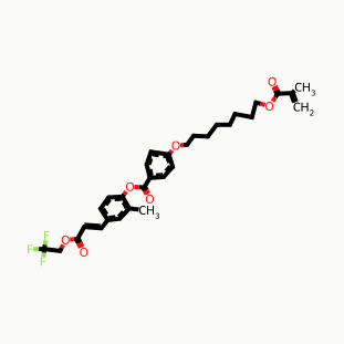 C=C(C)C(=O)OCCCCCCCCOc1ccc(C(=O)Oc2ccc(/C=C/C(=O)OCC(F)(F)F)cc2C)cc1